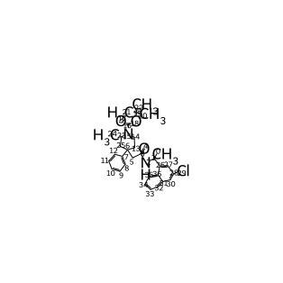 CC(NC(=O)CC1(c2ccccc2)CCN(C(=O)OC(C)(C)C)C(C)C1)c1cc(Cl)cc2ccccc12